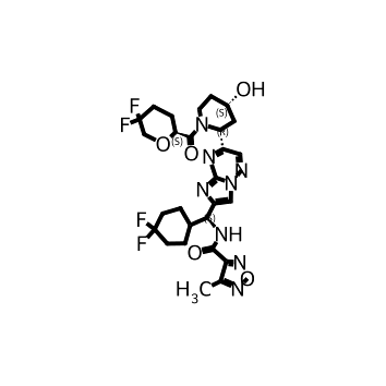 Cc1nonc1C(=O)N[C@H](c1cn2ncc([C@H]3C[C@@H](O)CCN3C(=O)[C@@H]3CCC(F)(F)CO3)nc2n1)C1CCC(F)(F)CC1